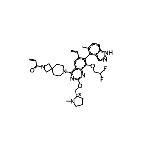 C=CC(=O)N1CC2(CCN(c3nc(OC[C@@H]4CCCN4C)nc4c(OCC(F)F)c(-c5c(C)ccc6[nH]ncc56)c(C=C)cc34)CC2)C1